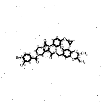 C[C@@H](Oc1ccc(CNC(=O)c2c3n(c(=O)n2-c2ccc(OC4CC4)cc2)CCN(C(=O)c2ccc(Br)c(Cl)c2)C3)c(F)c1)C(N)=O